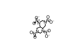 O=[N+]([O-])N1CC2C(CN([N+](=O)[O-])CN2[N+](=O)[O-])N([N+](=O)[O-])C1